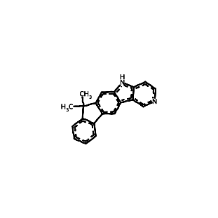 CC1(C)c2ccccc2-c2cc3c(cc21)[nH]c1ccncc13